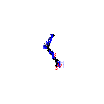 N#Cc1cnn2cc(-c3ccc(N4CCN(C(=O)CN5CCC(c6ccc(NC7CCC(=O)NC7=O)cc6)CC5)CC4)cc3)cc(-c3ccc(N4CCN(CCc5ccccn5)CC4)nc3)c12